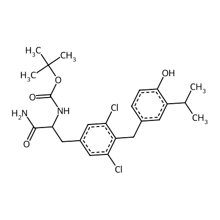 CC(C)c1cc(Cc2c(Cl)cc(CC(NC(=O)OC(C)(C)C)C(N)=O)cc2Cl)ccc1O